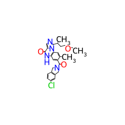 CCOCCC(C)c1ncc2c(=O)[nH]c3cc(C(=O)N4Cc5ccc(Cl)cc5C4)c(C)cc3n12